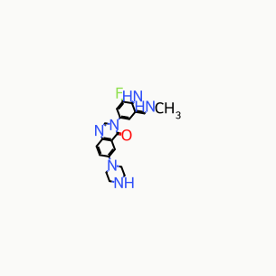 CN/C=C1/C=C(n2cnc3ccc(N4CCNCC4)cc3c2=O)C=C(F)C1=N